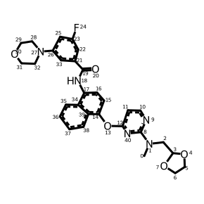 CN(CC1OCCO1)c1nccc(Oc2ccc(NC(=O)c3cc(F)cc(N4CCOCC4)c3)c3ccccc23)n1